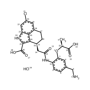 C[C@H](Oc1cc(CN)ccc1NC(=O)C[C@@H]1CCc2cc(Cl)cc3[nH]c(C(=O)O)c1c23)C(=O)O.Cl